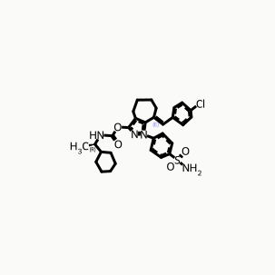 C[C@@H](NC(=O)Oc1nn(-c2ccc(S(N)(=O)=O)cc2)c2c1CCCC/C2=C\c1ccc(Cl)cc1)C1CCCCC1